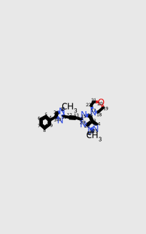 Cn1cc(-c2ccccc2)nc1C#Cc1nc(N2CCOCC2)c2cnn(C)c2n1